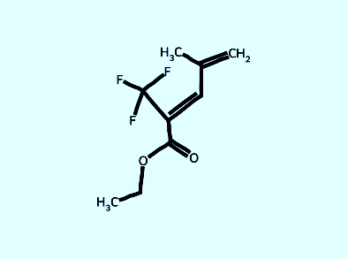 C=C(C)C=C(C(=O)OCC)C(F)(F)F